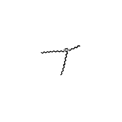 CCCCCCCCCCCCCCC1N(CCCCCCC)C=CN1CCCCCCCCCCCCCC